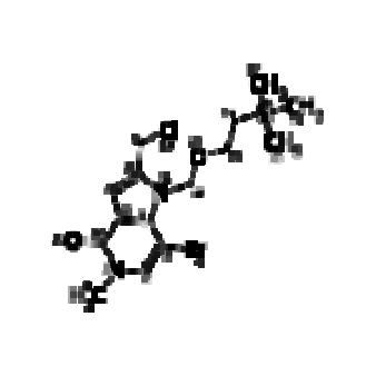 Cn1cc(Br)c2c(cc(CCl)n2COCC[Si](C)(C)C)c1=O